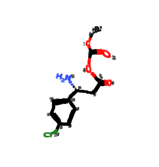 CC(C)(C)OC(=O)OC(=O)C[C@@H](N)c1ccc(Cl)cc1